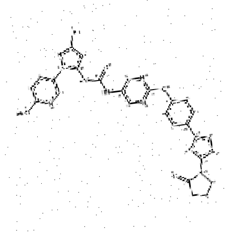 COc1ccc(-n2nc(C(C)(C)C)cc2NC(=O)Nc2cnc(Oc3ccc(-c4cnc(N5CCCC5=O)s4)cc3)nc2)cn1